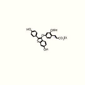 CCOC(=O)/C=C/c1ccc(Oc2c(-c3ccc(O)cc3)sc3cc(O)ccc23)cc1OC